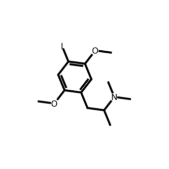 COc1cc(CC(C)N(C)C)c(OC)cc1I